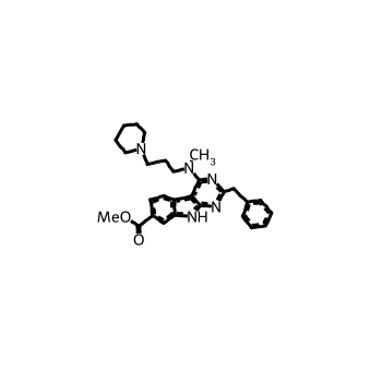 COC(=O)c1ccc2c(c1)[nH]c1nc(Cc3ccccc3)nc(N(C)CCCN3CCCCC3)c12